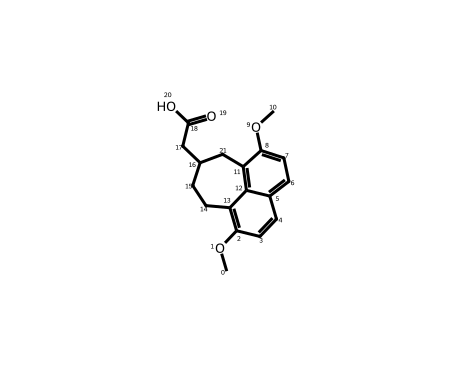 COc1ccc2ccc(OC)c3c2c1CCC(CC(=O)O)C3